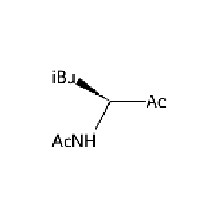 CCC(C)[C@H](NC(C)=O)C(C)=O